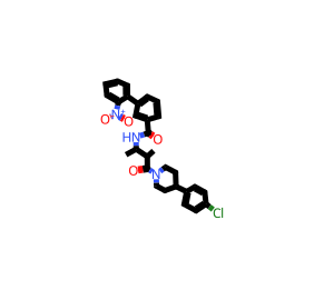 CC(NC(=O)c1cccc(-c2ccccc2[N+](=O)[O-])c1)C(C)C(=O)N1CCC(c2ccc(Cl)cc2)CC1